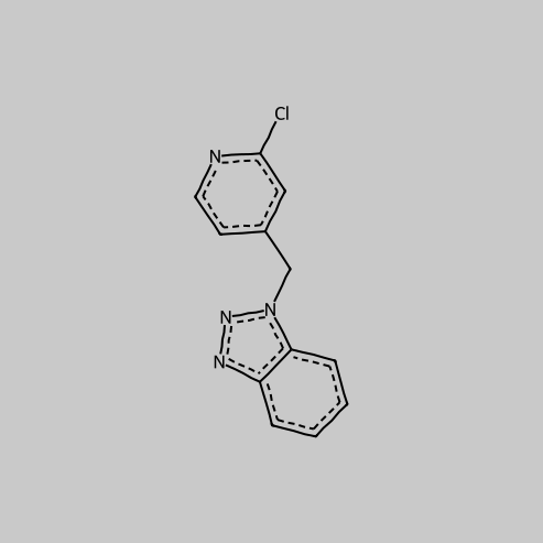 Clc1cc(Cn2nnc3ccccc32)ccn1